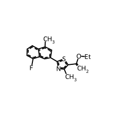 C=C(OCC)c1sc(-c2cc(C)c3cccc(F)c3c2)nc1C